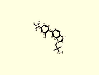 CC(C)(O)Cn1cnc2ccc(-c3ccc(S(C)(=O)=O)cc3F)cc21